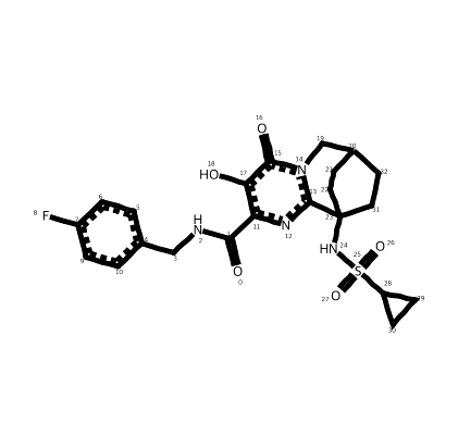 O=C(NCc1ccc(F)cc1)c1nc2n(c(=O)c1O)CC1CCC2(NS(=O)(=O)C2CC2)CC1